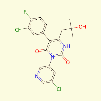 CC(C)(O)Cc1[nH]c(=O)n(-c2cncc(Cl)c2)c(=O)c1-c1ccc(F)c(Cl)c1